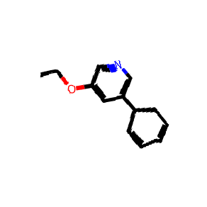 CCOc1cncc(C2C=CC=CC2)c1